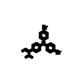 C/C=C(/c1ccc(N(c2ccc(Br)cc2)c2ccc(Br)cc2)cc1)C(C)C